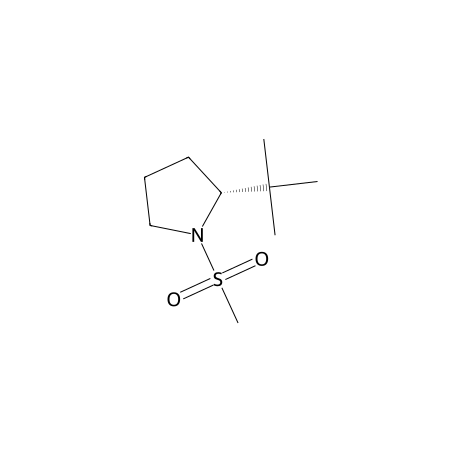 CC(C)(C)[C@H]1CCCN1S(C)(=O)=O